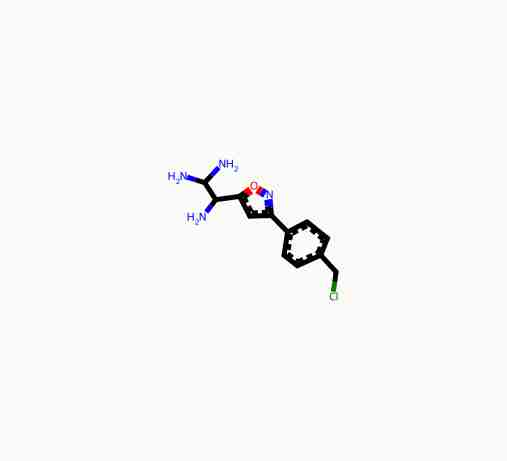 NC(N)C(N)c1cc(-c2ccc(CCl)cc2)no1